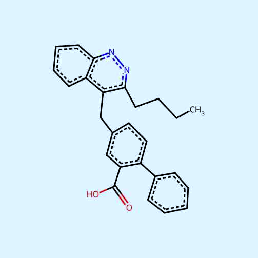 CCCCc1nnc2ccccc2c1Cc1ccc(-c2ccccc2)c(C(=O)O)c1